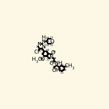 COc1cc(-c2nc(NC3CCOCC3)ncc2Cl)cc2c1CN(CC(=O)NC(CO)c1cccc(C)c1)C2=O